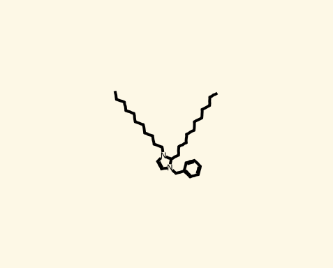 CCCCCCCCCCCC1N(CCCCCCCCCCC)C=CN1Cc1ccccc1